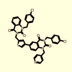 O=c1c2cc(-c3csc(Cn4c(=O)c5ccccc5n(Cc5ccc(Cl)cc5)c4=O)c3)ccc2n(Cc2ccncc2)c(=O)n1Cc1ccc(Cl)cc1